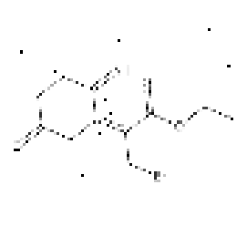 CCOC(=O)/C(CBr)=C1/CC(=O)CCC1=N